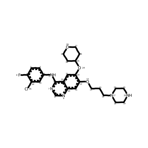 Fc1ccc(Nc2ncnc3cc(OCCCN4CCNCC4)c(OC4CCOCC4)cc23)cc1Cl